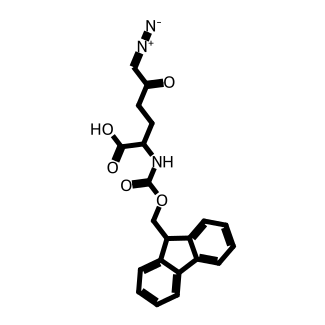 [N-]=[N+]=CC(=O)CCC(NC(=O)OCC1c2ccccc2-c2ccccc21)C(=O)O